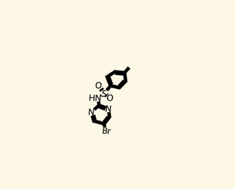 Cc1ccc(S(=O)(=O)Nc2ncc(Br)cn2)cc1